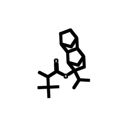 CC(C(=O)OC1(C(C)C)CC2CC1C1C3CCC(C3)C21)C(C)(C)C